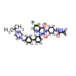 CC(C)N1CCN(Cc2ccc(-c3cccc(-n4c(=O)n([C@H]5CC[C@@H](NC(=O)C6CC6)CC5)c(=O)c5cc(F)cnc54)c3)cc2)CC1